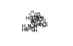 CC(=O)N(C1CCCCC1)C(C(=O)O)N1C(=O)C(NCC(=O)C(N)CS)N=C(c2ccccc2)c2ccccc21